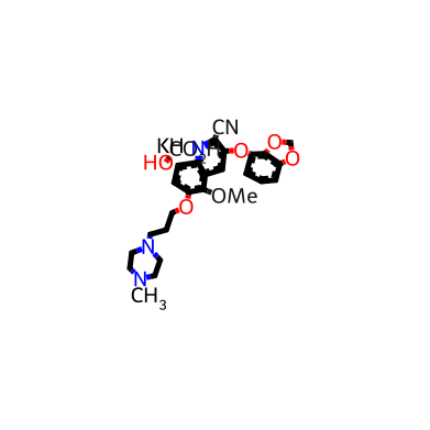 COc1c(OCCCN2CCN(C)CC2)ccc2nc(C#N)c(Oc3cccc4c3OCO4)cc12.O=C(O)O.[KH]